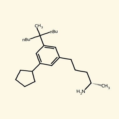 CCCCC(C)(CCCC)c1cc(CCC[C@H](C)N)cc(C2CCCC2)c1